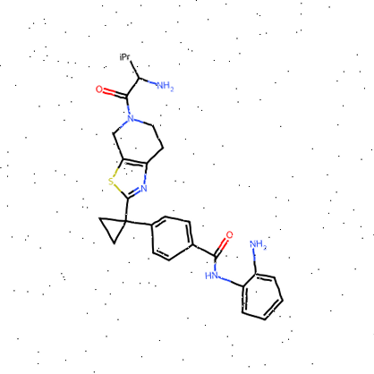 CC(C)C(N)C(=O)N1CCc2nc(C3(c4ccc(C(=O)Nc5ccccc5N)cc4)CC3)sc2C1